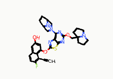 C#Cc1c(F)ccc2cc(O)cc(Oc3nc4c(N5CC6CCC(C5)N6)nc(OCC56CCCN5CCC6)nc4s3)c12